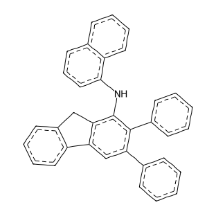 c1ccc(-c2cc3c(c(Nc4cccc5ccccc45)c2-c2ccccc2)Cc2ccccc2-3)cc1